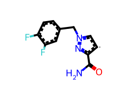 NC(=O)c1[c]cn(Cc2ccc(F)c(F)c2)n1